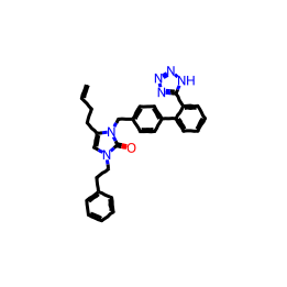 C=CCCc1cn(CCc2ccccc2)c(=O)n1Cc1ccc(-c2ccccc2-c2nnn[nH]2)cc1